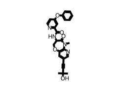 CN1C(=O)C(NC(=O)c2cc(Oc3ccccc3)ccn2)COc2cc(C#CC(C)(C)O)cnc21